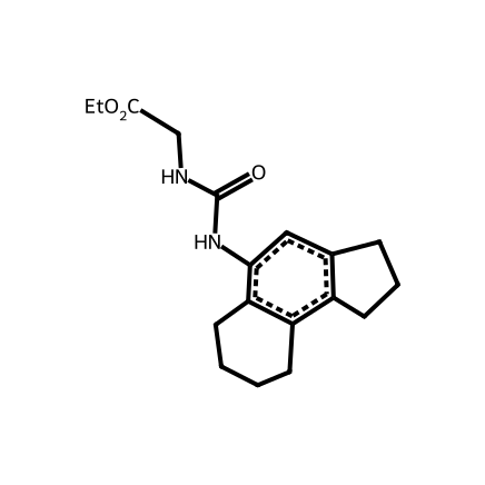 CCOC(=O)CNC(=O)Nc1cc2c(c3c1CCCC3)CCC2